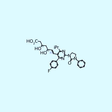 CC(C)c1nc(N2CCN(c3ccccc3)C2=O)nc(-c2ccc(F)cc2)c1/C=C/[C@@H](O)C[C@@H](O)CC(=O)O